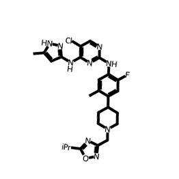 Cc1cc(Nc2nc(Nc3cc(C)c(C4CCN(Cc5noc(C(C)C)n5)CC4)cc3F)ncc2Cl)n[nH]1